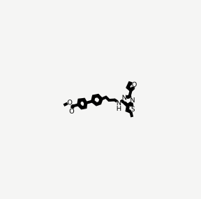 COC(=O)c1ccc(-c2ccc(CCCNc3nc(-c4ccoc4)nc4sc(C)cc34)cc2)cc1